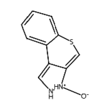 [O-][NH+]1NC=C2C1=CSc1ccccc12